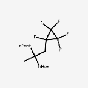 CCCCCCC(C)(CCCCC)CC1(F)C(F)(F)C1(F)F